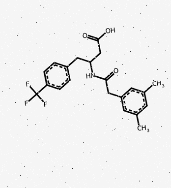 Cc1cc(C)cc(CC(=O)NC(CC(=O)O)Cc2ccc(C(F)(F)F)cc2)c1